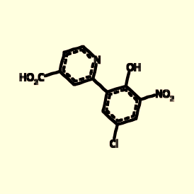 O=C(O)c1ccnc(-c2cc(Cl)cc([N+](=O)[O-])c2O)c1